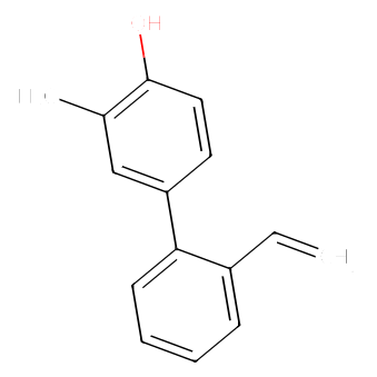 C=Cc1ccccc1-c1ccc(O)c(C)c1